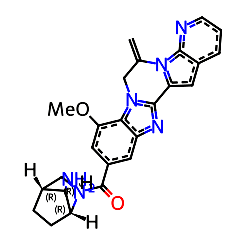 C=C1Cn2c(nc3cc(C(=O)N4C[C@H]5CC[C@@H]4[C@@H]5N)cc(OC)c32)-c2cc3cccnc3n21